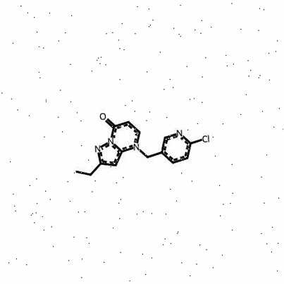 CCc1cc2n(Cc3ccc(Cl)nc3)ccc(=O)n2n1